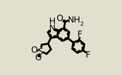 NC(=O)c1cc(-c2ccc(F)cc2F)cc2c(C3CCS(=O)(=O)C3)c[nH]c12